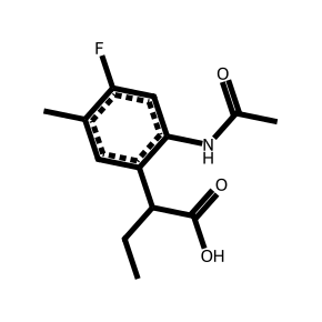 CCC(C(=O)O)c1cc(C)c(F)cc1NC(C)=O